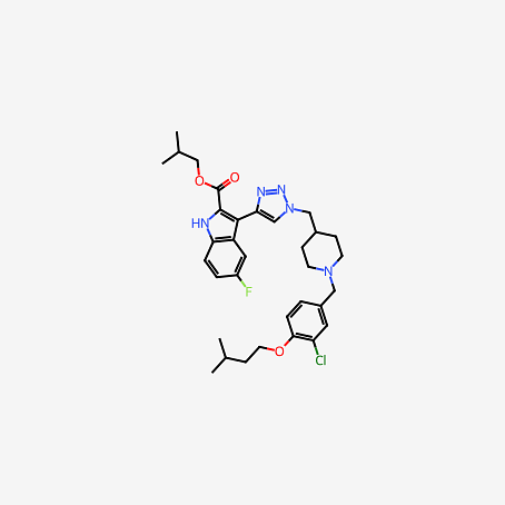 CC(C)CCOc1ccc(CN2CCC(Cn3cc(-c4c(C(=O)OCC(C)C)[nH]c5ccc(F)cc45)nn3)CC2)cc1Cl